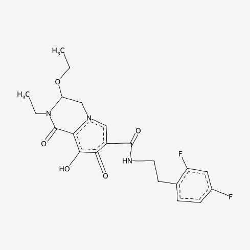 CCOC1Cn2cc(C(=O)NCCc3ccc(F)cc3F)c(=O)c(O)c2C(=O)N1CC